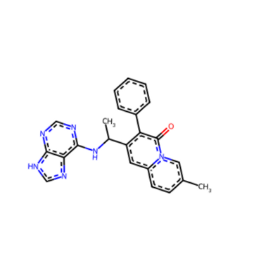 Cc1ccc2cc(C(C)Nc3ncnc4[nH]cnc34)c(-c3ccccc3)c(=O)n2c1